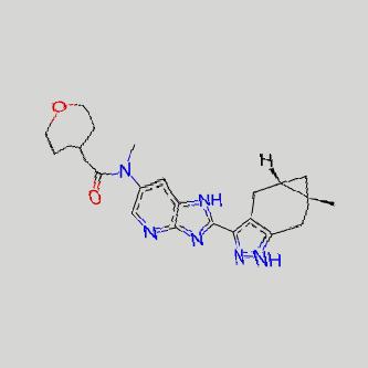 CN(C(=O)C1CCOCC1)c1cnc2nc(-c3n[nH]c4c3C[C@@H]3C[C@]3(C)C4)[nH]c2c1